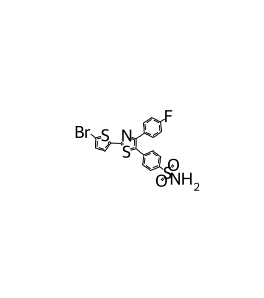 NS(=O)(=O)c1ccc(-c2sc(-c3ccc(Br)s3)nc2-c2ccc(F)cc2)cc1